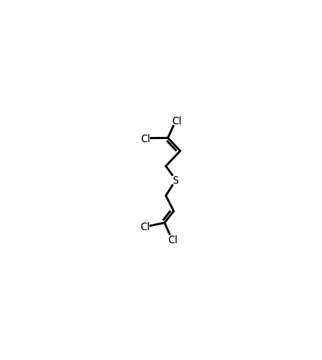 ClC(Cl)=CCSCC=C(Cl)Cl